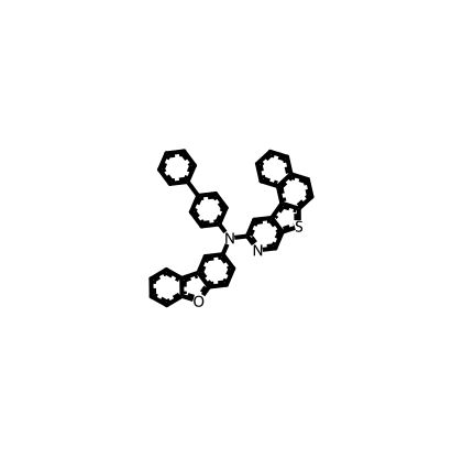 c1ccc(-c2ccc(N(c3ccc4oc5ccccc5c4c3)c3cc4c(cn3)sc3ccc5ccccc5c34)cc2)cc1